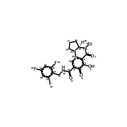 CCN1C(=O)c2c(O)c(=O)c(C(=O)NCc3c(F)cc(F)cc3F)cn2N2CCC[C@@H]12